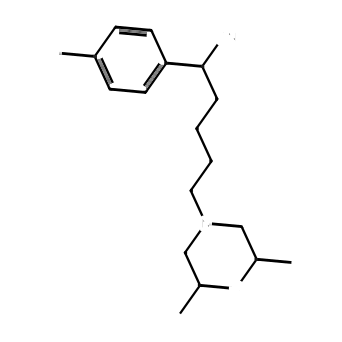 CC1CN(CCCCC(C#N)c2ccc(Cl)cc2)CC(C)O1